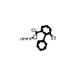 CCCCCCOC(=O)c1cccc(CC)c1-c1ccccc1